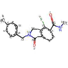 CCNC(=O)c1ccc2c(c1F)CN(Cc1ccc(OC)cc1)C2=O